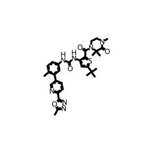 Cc1nnc(-c2ccc(-c3cc(NC(=O)Nc4cc(C(C)(C)C)sc4C(=O)N4CCN(C)C(=O)C4(C)C)ccc3C)cn2)o1